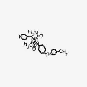 Cc1ccc(Oc2ccc(N(C[C@H](NCc3ccncc3)C(N)=O)S(C)(=O)=O)cc2)cc1